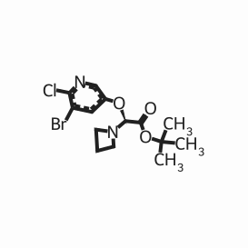 CC(C)(C)OC(=O)[C@H](Oc1cnc(Cl)c(Br)c1)N1CCC1